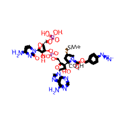 CSS[C@H]1CN(C(=O)OCc2ccc(N=[N+]=[N-])cc2)[C@](C(=O)O)([C@H]2[C@@H](O)[C@H](n3cnc4c(N)ncnc43)O[C@H]2COP(=O)(O)O[C@H]2[C@@H](O)[C@H](n3ccc(N)nc3=O)O[C@@H]2COP(=O)(O)O)C1